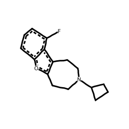 Fc1cccc2oc3c(c12)CCN(C1CCC1)CC3